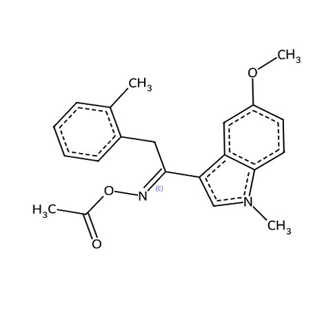 COc1ccc2c(c1)c(/C(Cc1ccccc1C)=N/OC(C)=O)cn2C